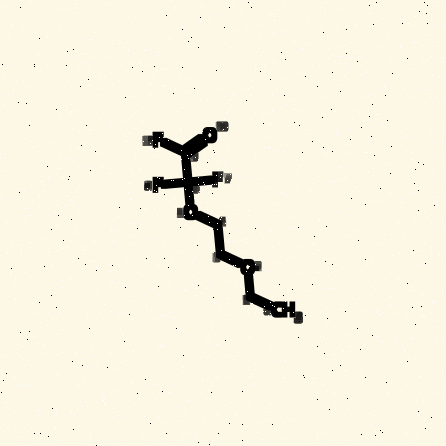 CCOCCOC(F)(F)C(=O)F